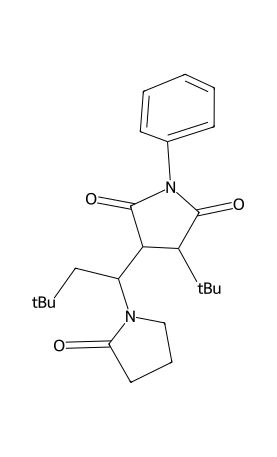 CC(C)(C)CC(C1C(=O)N(c2ccccc2)C(=O)C1C(C)(C)C)N1CCCC1=O